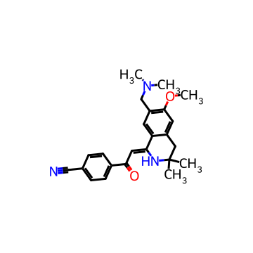 COc1cc2c(cc1CN(C)C)/C(=C/C(=O)c1ccc(C#N)cc1)NC(C)(C)C2